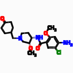 COc1cc(N)c(Cl)cc1C(=O)N[C@H]1CCN(CC2CCC(=O)CC2)C[C@H]1OC